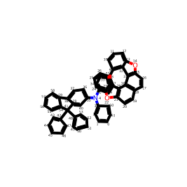 c1ccc(N(c2ccc(-c3cccc4oc5ccc6ccc7oc8ccccc8c7c6c5c34)cc2)c2ccc3c(c2)C(c2ccccc2)(c2ccccc2)c2ccccc2-3)cc1